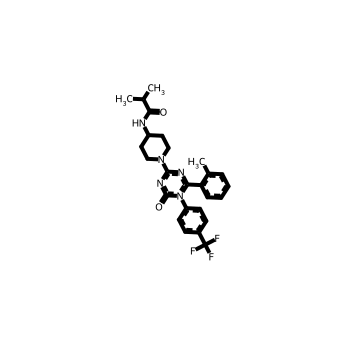 Cc1ccccc1-c1nc(N2CCC(NC(=O)C(C)C)CC2)nc(=O)n1-c1ccc(C(F)(F)F)cc1